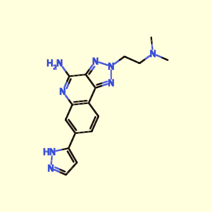 CN(C)CCn1nc2c(N)nc3cc(-c4ccn[nH]4)ccc3c2n1